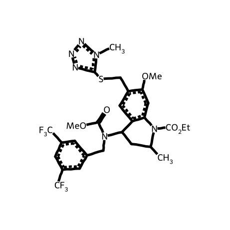 CCOC(=O)N1c2cc(OC)c(CSc3nnnn3C)cc2C(N(Cc2cc(C(F)(F)F)cc(C(F)(F)F)c2)C(=O)OC)CC1C